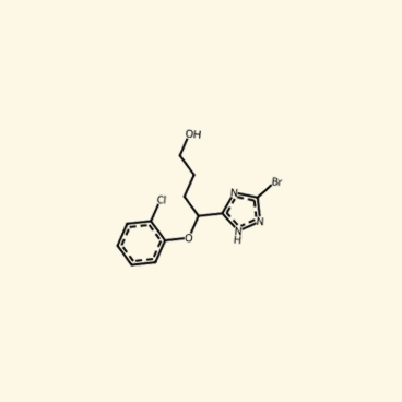 OCCCC(Oc1ccccc1Cl)c1nc(Br)n[nH]1